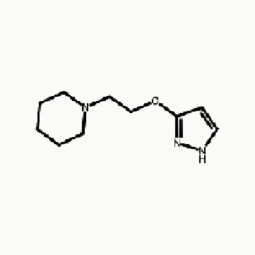 c1cc(OCCN2CCCCC2)n[nH]1